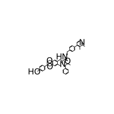 CCC(c1ccccc1)N1Cc2cc3c(cc2CC1C(=O)NCCc1ccc(-c2ccnc(C)c2C)cc1)OCC(c1ccc(O)cc1)O3